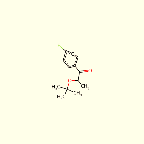 CC(OC(C)(C)C)C(=O)c1ccc(F)cc1